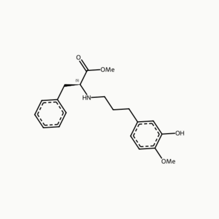 COC(=O)[C@H](Cc1ccccc1)NCCCc1ccc(OC)c(O)c1